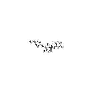 Nc1ccc(C#Cc2c(F)ccc(NSc3cc(Cl)ccc3Cl)c2F)cn1